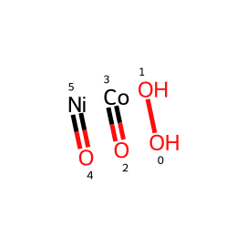 OO.[O]=[Co].[O]=[Ni]